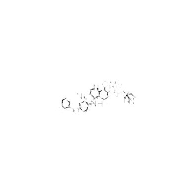 COc1c(OCCn2ccnn2)ccc2c(Nc3ccc(Oc4ccccc4)cc3)c(C#N)cnc12